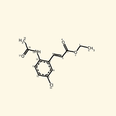 CCOC(=O)/C=C/c1cc(Cl)ccc1NC(C)=O